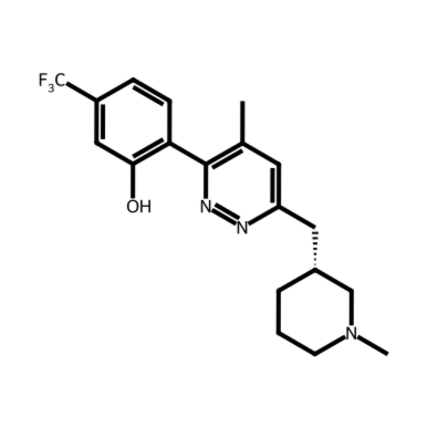 Cc1cc(C[C@H]2CCCN(C)C2)nnc1-c1ccc(C(F)(F)F)cc1O